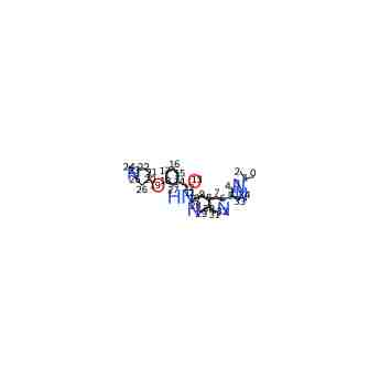 CC(C)n1cc(-c2cc3cc(NC(=O)c4cccc(OC5CCN(C)CC5)c4)ncc3cn2)cn1